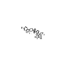 C[C@@H]1CN(c2ccc(F)cc2C(F)(F)F)CCN1S(=O)(=O)c1ccc(C(O)(C(N)=O)C(F)(F)F)s1